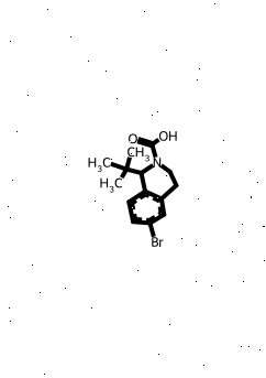 CC(C)(C)C1c2ccc(Br)cc2CCN1C(=O)O